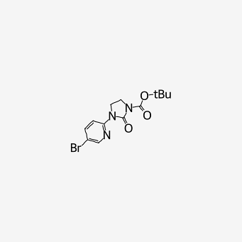 CC(C)(C)OC(=O)N1CCN(c2ccc(Br)cn2)C1=O